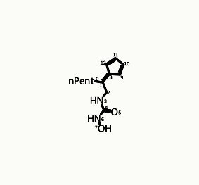 CCCCCC(CNC(=O)NO)=C1C=CC=C1